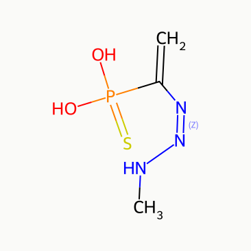 C=C(/N=N\NC)P(O)(O)=S